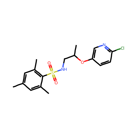 Cc1cc(C)c(S(=O)(=O)NCC(C)Oc2ccc(Cl)nc2)c(C)c1